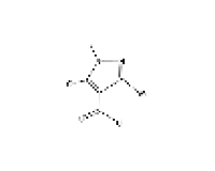 CC(C)c1nn(C)c(Cl)c1C(=O)Cl